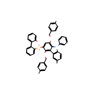 CC(C)(C)c1ccc(COc2c(P3(=O)Oc4ccccc4-c4ccccc43)cc(OCc3ccc(C(C)(C)C)cc3)c3c2c2cc(C(C)(C)C)ccc2n3-c2ccccc2)cc1